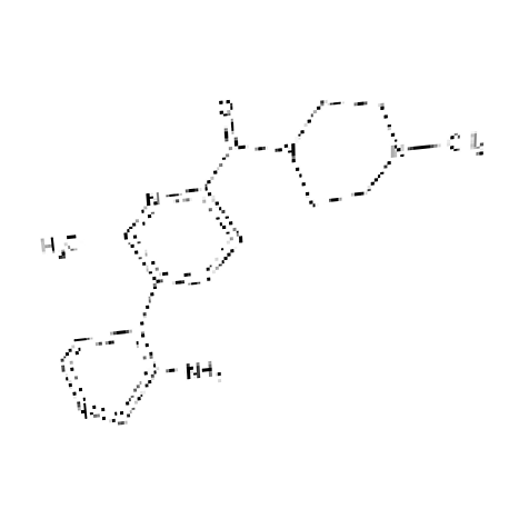 Cc1nc(C(=O)N2CCN(C)CC2)ccc1-c1ccncc1N